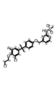 CC(C)(c1ccc(OCc2ccnc(NS(C)(=O)=O)n2)cc1)c1cc(F)c(OCCCl)c(Cl)c1